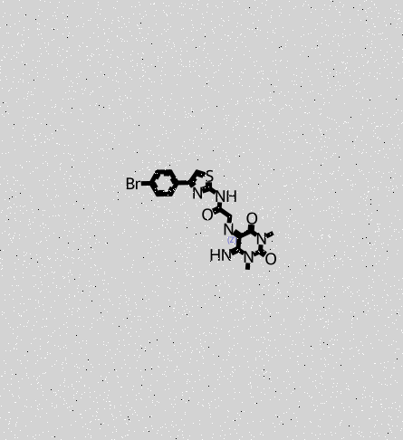 CN1C(=N)/C(=N/CC(=O)Nc2nc(-c3ccc(Br)cc3)cs2)C(=O)N(C)C1=O